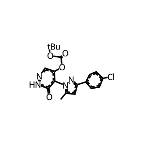 Cc1cc(-c2ccc(Cl)cc2)nn1-c1c(OC(=O)OC(C)(C)C)cn[nH]c1=O